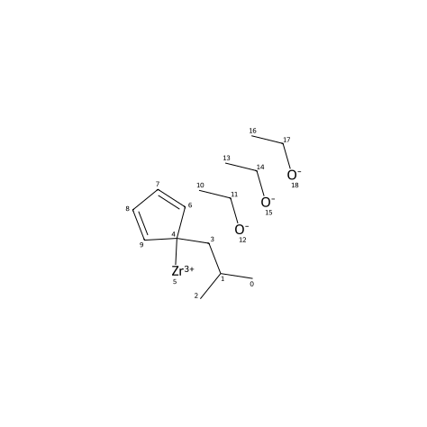 CC(C)C[C]1([Zr+3])C=CC=C1.CC[O-].CC[O-].CC[O-]